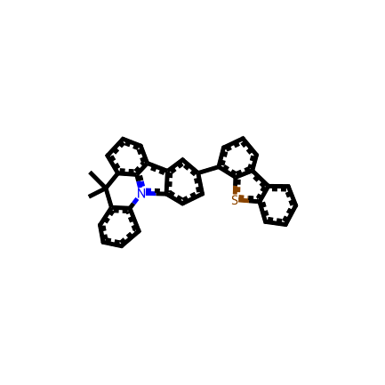 CC1(C)c2ccccc2-n2c3ccc(-c4cccc5c4sc4ccccc45)cc3c3cccc1c32